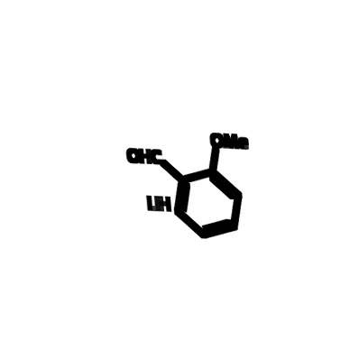 COc1ccccc1C=O.[LiH]